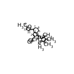 CC1=CC2=C(CCCC2c2ccc(C)o2)[CH]1[Zr+2][C]1=C(C)C(C)=C(C)C1C.[Cl-].[Cl-]